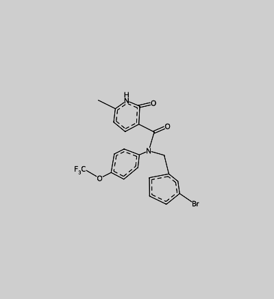 Cc1ccc(C(=O)N(Cc2cccc(Br)c2)c2ccc(OC(F)(F)F)cc2)c(=O)[nH]1